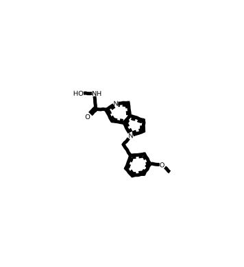 COc1cccc(Cn2ccc3cnc(C(=O)NO)cc32)c1